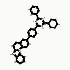 c1ccc(-c2nc(-c3ccc(-c4ccc5c(ccc6nc7ccccc7n65)c4)cc3)nc(C3CCCCC3)n2)cc1